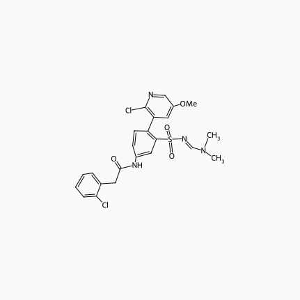 COc1cnc(Cl)c(-c2ccc(NC(=O)Cc3ccccc3Cl)cc2S(=O)(=O)/N=C/N(C)C)c1